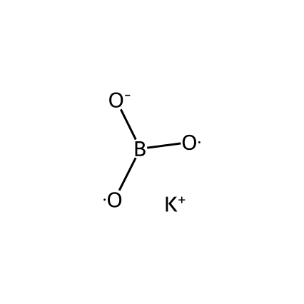 [K+].[O]B([O])[O-]